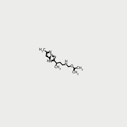 C=C(C)OCNCCC(C)c1nn2nc(C)cc2[nH]1